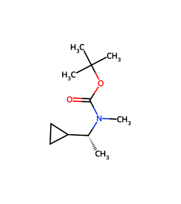 C[C@H](C1CC1)N(C)C(=O)OC(C)(C)C